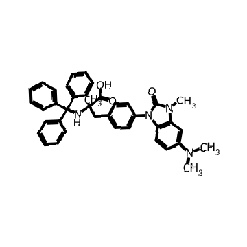 CN(C)c1ccc2c(c1)n(C)c(=O)n2-c1ccc(CC(C)(NC(c2ccccc2)(c2ccccc2)c2ccccc2)C(=O)O)cc1